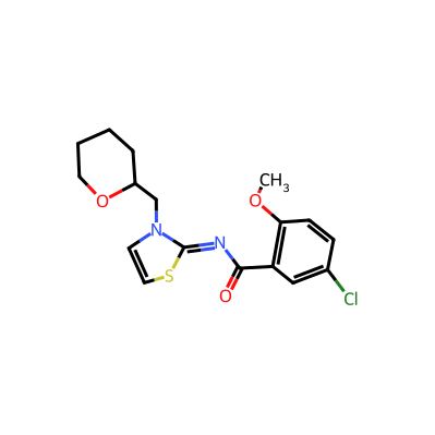 COc1ccc(Cl)cc1C(=O)N=c1sccn1CC1CCCCO1